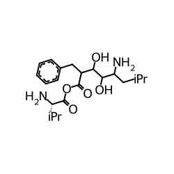 CC(C)CC(N)C(O)C(O)C(Cc1ccccc1)C(=O)OC(=O)[C@@H](N)C(C)C